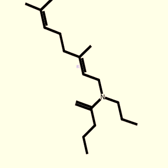 C=C(CCC)N(C/C=C(\C)CCC=C(C)C)CCC